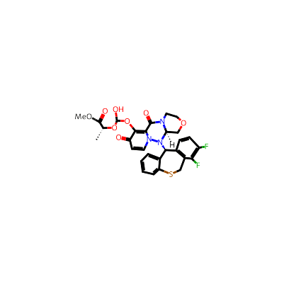 COC(=O)[C@@H](C)OC(O)Oc1c2n(ccc1=O)N([C@@H]1c3ccccc3SCc3c1ccc(F)c3F)[C@@H]1COCCN1C2=O